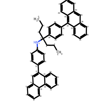 CCCC(CCC)(Nc1ccc(-c2cc3ccccc3c3ccccc23)cc1)c1ccc(-c2c3ccccc3cc3ccccc23)cc1